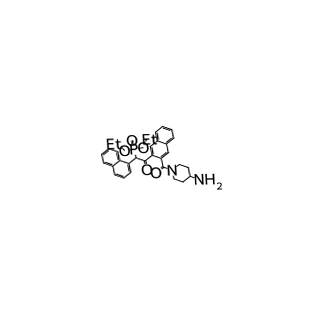 CCOP(=O)(OCC)C(C(=O)c1cc2ccccc2cc1C(=O)N1CCC(N)CC1)c1cccc2ccccc12